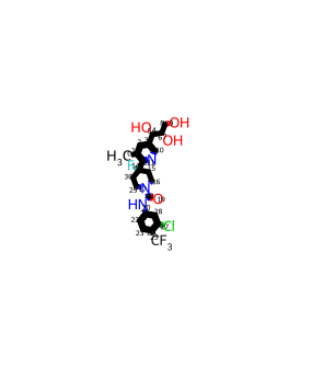 Cc1cc([C@H](O)[C@@H](O)CO)cnc1C1(F)CCN(C(=O)Nc2ccc(C(F)(F)F)c(Cl)c2)CC1